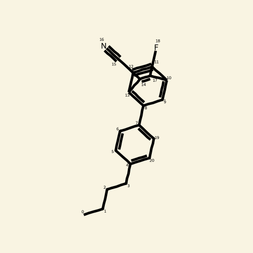 CCCCc1ccc(-c2[c]c3c#cc2c(C#N)c3F)cc1